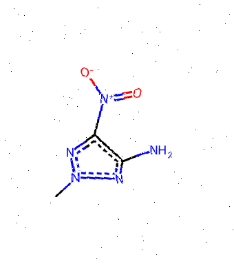 Cn1nc(N)c([N+](=O)[O-])n1